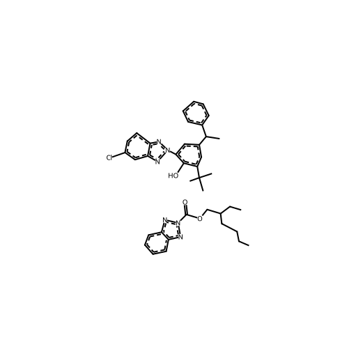 CC(c1ccccc1)c1cc(-n2nc3ccc(Cl)cc3n2)c(O)c(C(C)(C)C)c1.CCCCC(CC)COC(=O)n1nc2ccccc2n1